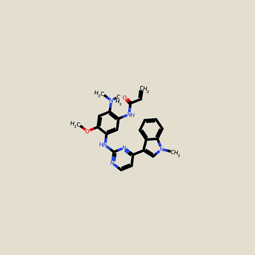 C=CC(=O)Nc1cc(Nc2nccc(-c3cn(C)c4ccccc34)n2)c(OC)cc1N(C)C